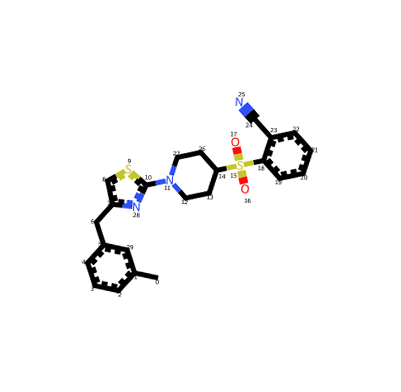 Cc1cccc(Cc2csc(N3CCC(S(=O)(=O)c4ccccc4C#N)CC3)n2)c1